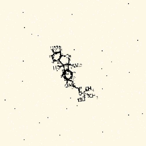 COc1ccc(C2(SC)COc3cc(OC)ccc3C2(O)C#CCCCCO[Si](C)(C)C(C)(C)C)cc1